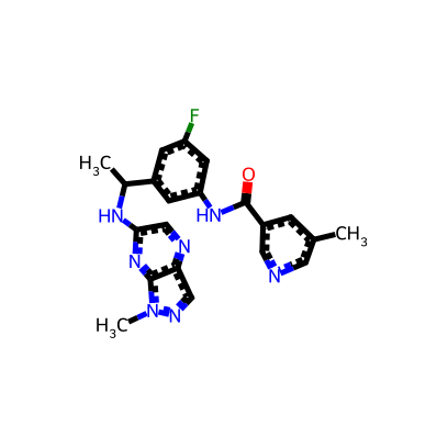 Cc1cncc(C(=O)Nc2cc(F)cc(C(C)Nc3cnc4cnn(C)c4n3)c2)c1